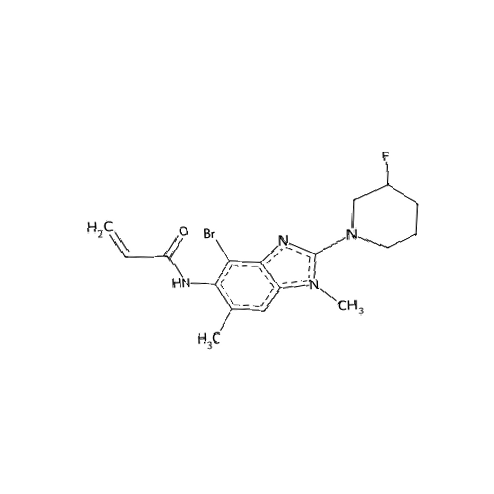 C=CC(=O)Nc1c(C)cc2c(nc(N3CCCC(F)C3)n2C)c1Br